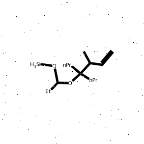 C=CC(C)C(CCC)(CCC)OC(CC)O[SiH3]